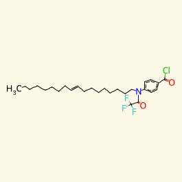 CCCCCCCC/C=C/CCCCCCCCN(C(=O)C(F)(F)F)c1ccc(C(=O)Cl)cc1